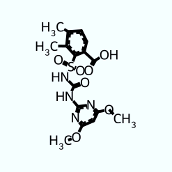 COc1cc(OC)nc(NC(=O)NS(=O)(=O)c2c(C(=O)O)ccc(C)c2C)n1